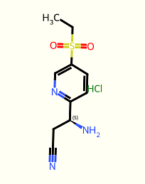 CCS(=O)(=O)c1ccc([C@@H](N)CC#N)nc1.Cl